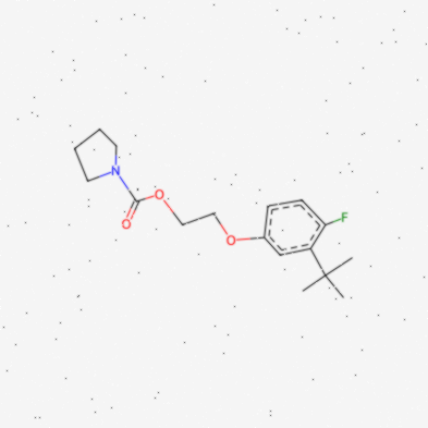 CC(C)(C)c1cc(OCCOC(=O)N2CCCC2)ccc1F